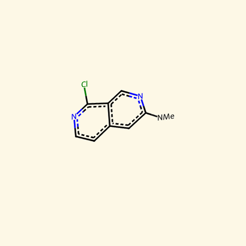 CNc1cc2ccnc(Cl)c2cn1